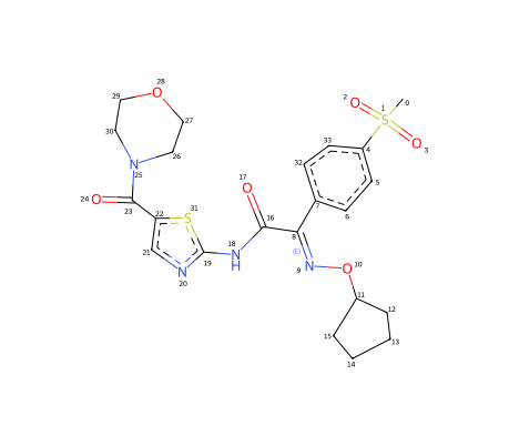 CS(=O)(=O)c1ccc(/C(=N\OC2CCCC2)C(=O)Nc2ncc(C(=O)N3CCOCC3)s2)cc1